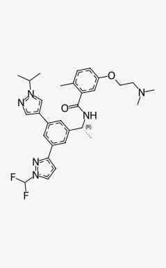 Cc1ccc(OCCN(C)C)cc1C(=O)N[C@H](C)c1cc(-c2cnn(C(C)C)c2)cc(-c2ccn(C(F)F)n2)c1